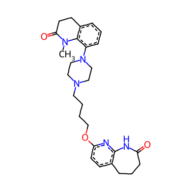 CN1C(=O)CCc2cccc(N3CCN(CCCCOc4ccc5c(n4)NC(=O)CCC5)CC3)c21